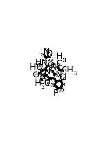 Cc1ncc([C@H](c2cc(F)ccc2Cl)[C@@H](C)c2nc(C(=O)Nc3cnoc3)c(O)c(=O)n2C)nc1C